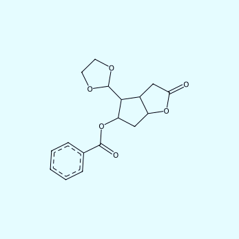 O=C1CC2C(CC(OC(=O)c3ccccc3)C2C2OCCO2)O1